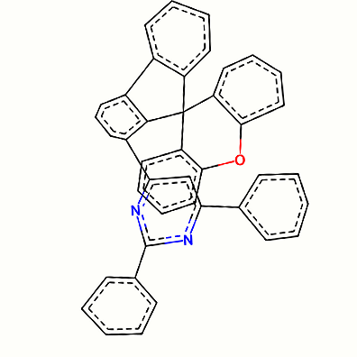 c1ccc(-c2cc(-c3cccc4c3C3(c5ccccc5Oc5ccccc53)c3ccccc3-4)nc(-c3ccccc3)n2)cc1